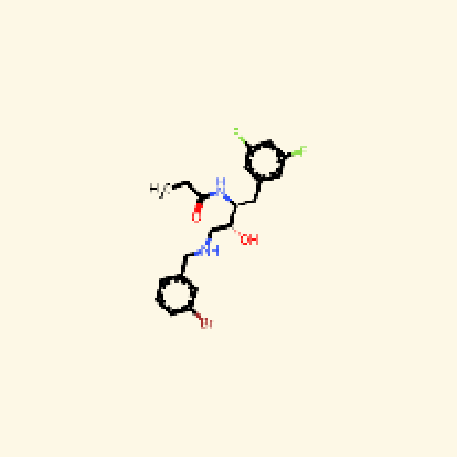 CCC(=O)N[C@@H](Cc1cc(F)cc(F)c1)[C@H](O)CNCc1cccc(Br)c1